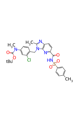 Cc1ccc(S(=O)(=O)NC(=O)c2ccc3nc(C)n(Cc4ccc(N(C)C(=O)OC(C)(C)C)cc4Cl)c3n2)cc1